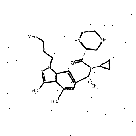 COCCCN1N=C(C)C2C(C)=CC([C@@H](C)N(C(=O)[C@H]3CNCCN3)C3CC3)=CC21